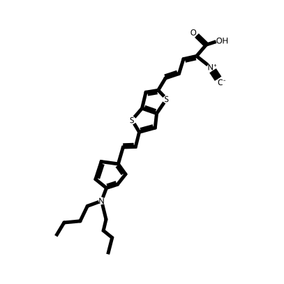 [C-]#[N+]/C(=C\C=C\c1cc2sc(/C=C/c3ccc(N(CCCC)CCCC)cc3)cc2s1)C(=O)O